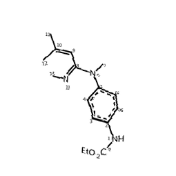 CCOC(=O)Nc1ccc(N(C)C(C=C(C)C)=NC)cc1